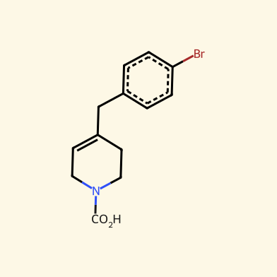 O=C(O)N1CC=C(Cc2ccc(Br)cc2)CC1